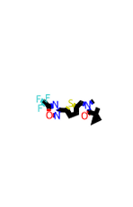 CN(Cc1ccc(-c2noc(C(F)(F)F)n2)s1)C(=O)C1(C)CC1